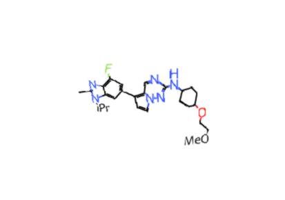 COCCO[C@H]1CC[C@@H](Nc2ncc3c(-c4cc(F)c5nc(C)n(C(C)C)c5c4)ccn3n2)CC1